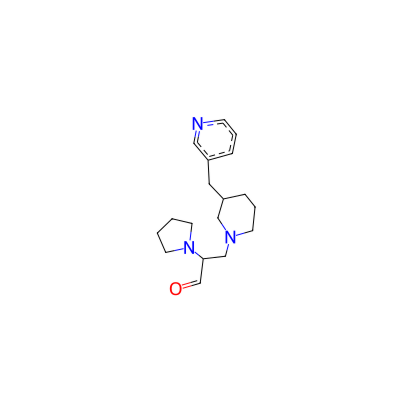 O=CC(CN1CCCC(Cc2cccnc2)C1)N1CCCC1